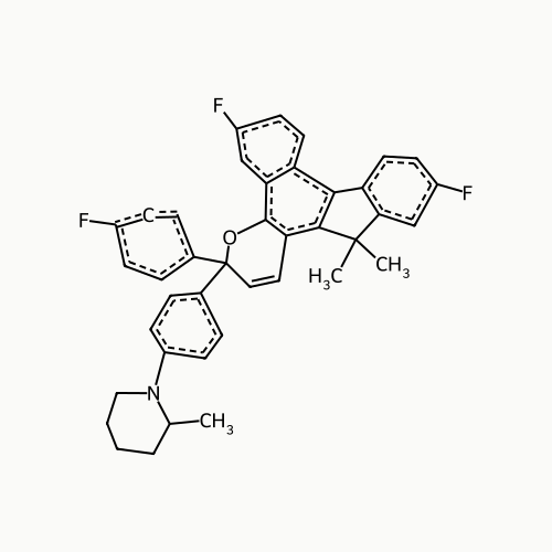 CC1CCCCN1c1ccc(C2(c3ccc(F)cc3)C=Cc3c4c(c5ccc(F)cc5c3O2)-c2ccc(F)cc2C4(C)C)cc1